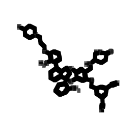 Cc1ccccc1[C@@]1(Oc2cc(OCc3cc(C#N)cc(C#N)c3)c(CNC3CCC(=O)NC3)cc2Cl)CCc2c(-c3cccc(OCCCN4CCC(F)CC4)c3C)cccc21